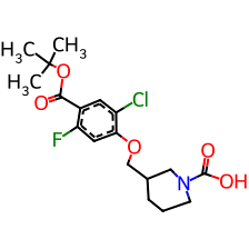 CC(C)(C)OC(=O)c1cc(Cl)c(OCC2CCCN(C(=O)O)C2)cc1F